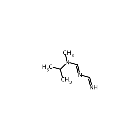 CC(C)N(C)/C=N/C=N